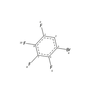 Fc1cc(Br)c(F)c(F)c1F